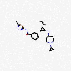 Cc1nnc(NC(=O)c2cccc([C@@H]3C[C@H]3NC3CCN(C4CC4)CC3)c2)s1.O=C(O)C=CC(=O)O